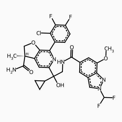 COc1cc(C(=O)NCC(O)(c2cc3c(c(-c4ccc(F)c(F)c4Cl)n2)OC[C@]3(C)C(N)=O)C2CC2)cc2cn(C(F)F)nc12